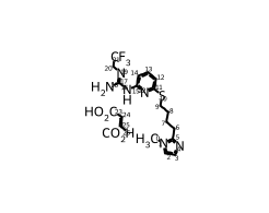 Cn1ccnc1CCCCSc1cccc(NC(N)=NCC(F)(F)F)n1.O=C(O)C=CC(=O)O